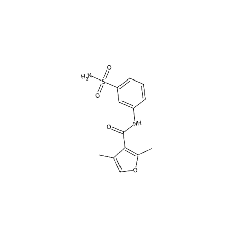 Cc1coc(C)c1C(=O)Nc1cccc(S(N)(=O)=O)c1